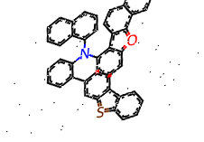 c1ccc(N(c2cccc3ccccc23)c2cccc3oc4c5ccccc5ccc4c23)c(-c2ccc3c(c2)sc2ccccc23)c1